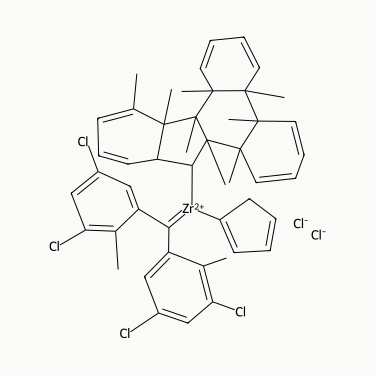 CC1=CC=CC2[CH]([Zr+2]([C]3=CC=CC3)=[C](c3cc(Cl)cc(Cl)c3C)c3cc(Cl)cc(Cl)c3C)C3(C)C4(C)C=CC=CC4(C)C4(C)C=CC=CC4(C)C3(C)C12C.[Cl-].[Cl-]